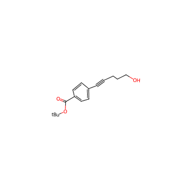 CC(C)(C)OC(=O)c1ccc(C#CCCCO)cc1